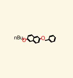 CCCCOc1ccc2cc(OCc3ccccc3)ccc2c1